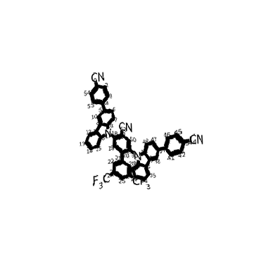 N#Cc1ccc(-c2ccc3c(c2)c2ccccc2n3-c2cc(-c3cc(C(F)(F)F)cc(C(F)(F)F)c3)c(-n3c4ccccc4c4cc(-c5ccc(C#N)cc5)ccc43)cc2C#N)cc1